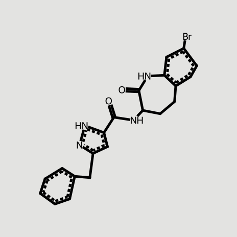 O=C(NC1CCc2ccc(Br)cc2NC1=O)c1cc(Cc2ccccc2)n[nH]1